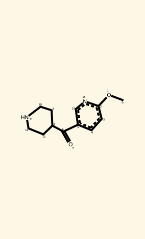 COc1ccc(C(=O)C2CCNCC2)cn1